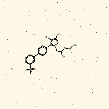 CSCOC(O)Cn1nc(C(F)(F)F)c(Br)c1-c1ccc(-c2cccc(S(C)(=O)=O)c2)cc1